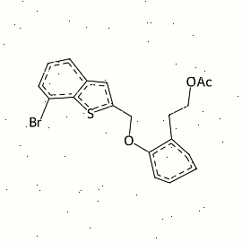 CC(=O)OCCc1ccccc1OCc1cc2cccc(Br)c2s1